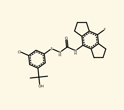 CC(C)(O)c1cc(Cl)cc(SNC(=O)Nc2c3c(c(F)c4c2CCC4)CCC3)c1